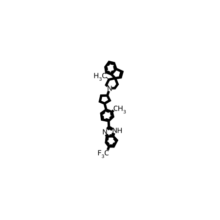 Cc1cc(-c2nc3cc(C(F)(F)F)ccc3[nH]2)ccc1C1CCC(N2CCC3(C=Cc4ccccc43)[C@@H](C)C2)C1